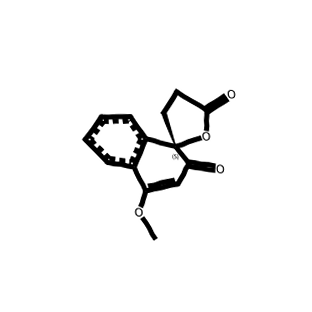 COC1=CC(=O)[C@]2(CCC(=O)O2)c2ccccc21